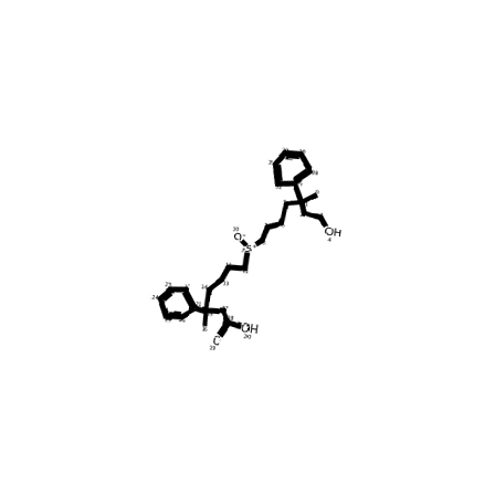 CC(CCO)(CCCC[S+]([O-])CCCCC(C)(CC(=O)O)c1ccccc1)c1ccccc1